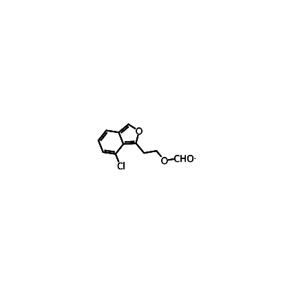 O=[C]OCCc1occ2cccc(Cl)c12